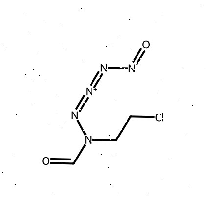 O=CN(CCCl)N=[N+]=NN=O